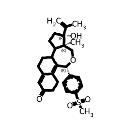 C=C(C)[C@]1(O)CCC2C3CCC4=CC(=O)CCC4=C3[C@@H](c3ccc(S(C)(=O)=O)cc3)OC[C@@]21C